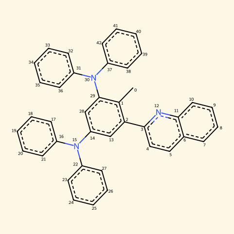 Cc1c(-c2ccc3ccccc3n2)cc(N(c2ccccc2)c2ccccc2)cc1N(c1ccccc1)c1ccccc1